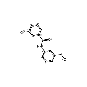 O=C(Nc1cccc(CCl)c1)c1cccc(Cl)c1